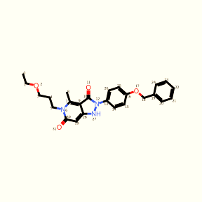 CCOCCCn1c(C)c2c(=O)n(-c3ccc(OCc4ccccc4)cc3)[nH]c2cc1=O